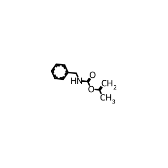 C=C(C)OC(=O)NCc1ccccc1